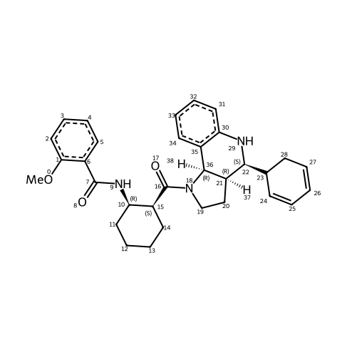 COc1ccccc1C(=O)N[C@@H]1CCCC[C@@H]1C(=O)N1CC[C@@H]2[C@H](C3C=CC=CC3)Nc3ccccc3[C@@H]21